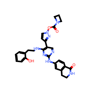 O=C1NCCc2cc(Nc3ncc(-c4ccn(OC(=O)N5CCC5)n4)c(NCCc4ccccc4O)n3)ccc21